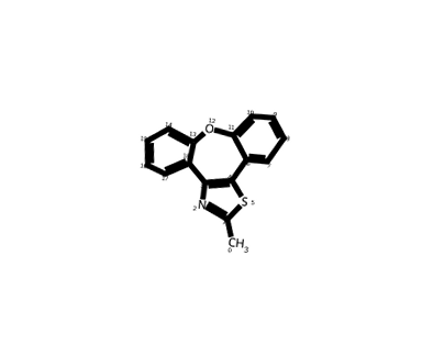 Cc1nc2c(s1)-c1ccccc1Oc1ccccc1-2